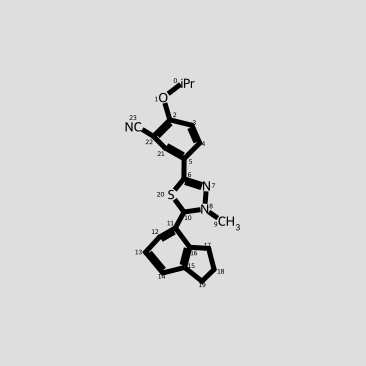 CC(C)Oc1ccc(C2=NN(C)C(c3cccc4c3CCC4)S2)cc1C#N